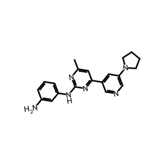 Cc1cc(-c2cncc(N3CCCC3)c2)nc(Nc2cccc(N)c2)n1